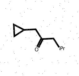 CC(C)CC(=O)CC1CC1